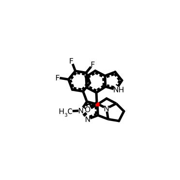 Cn1nc2c(c1-c1cc(F)c(F)c(F)c1)CC1CCC2N1C(=O)c1cccc2cc[nH]c12